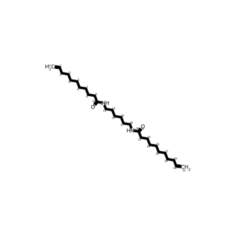 C=CCCCCCCCCC(=O)NCCCCCCNC(=O)CCCCCCCCC=C